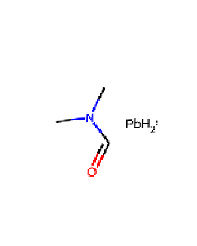 CN(C)C=O.[PbH2]